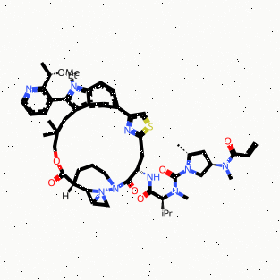 C=CC(=O)N(C)[C@@H]1C[C@@H](C)N(C(=O)N(C)[C@H](C(=O)N[C@H]2Cc3nc(cs3)-c3ccc4c(c3)c(c(-c3cccnc3[C@H](C)OC)n4CC)CC(C)(C)COC(=O)[C@@H]3CCCN(C2=O)[N+]24CC2C34)C(C)C)C1